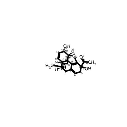 CC(=O)C1(O)CC=C2C[C@@H]3[C@@H]4C=C[C@H](O)[C@@H]5OC1=C2[C@]45CCN3C